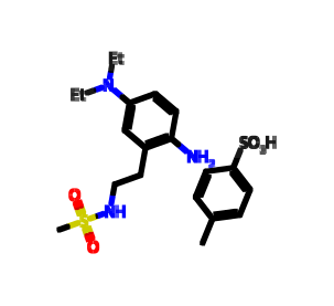 CCN(CC)c1ccc(N)c(CCNS(C)(=O)=O)c1.Cc1ccc(S(=O)(=O)O)cc1